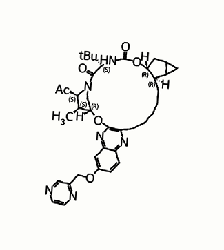 CC(=O)[C@@H]1[C@H](C)[C@@H]2CN1C(=O)[C@H](C(C)(C)C)NC(=O)O[C@@H]1CC3CC3[C@H]1CCCCCc1nc3ccc(OCc4cnccn4)cc3nc1O2